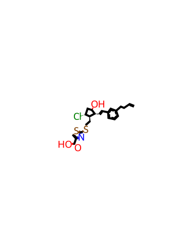 C=CCCc1cccc(/C=C/[C@@H]2[C@@H](CCSc3nc(C(=O)O)cs3)[C@H](Cl)C[C@H]2O)c1